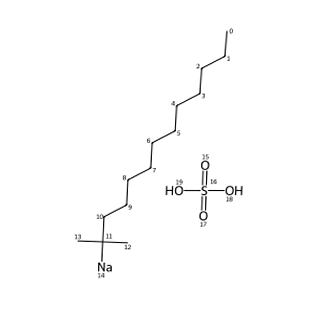 CCCCCCCCCCC[C](C)(C)[Na].O=S(=O)(O)O